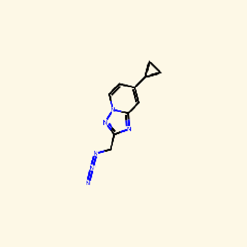 [N-]=[N+]=NCc1nc2cc(C3CC3)ccn2n1